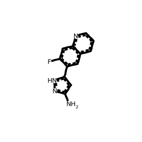 Nc1cc(-c2cc3cccnc3cc2F)[nH]n1